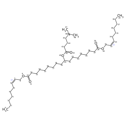 CCCCCC/C=C\COC(=O)CCCCCCCCC(CCCCCCCC(=O)OC/C=C\CCCCCC)OC(=O)CCCN(C)C